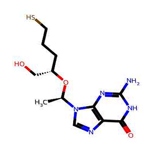 C[C@@H](O[C@H](CO)CCCS)n1cnc2c(=O)[nH]c(N)nc21